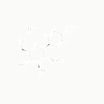 CC(=O)N[C@@H]1[C@@H](O)[C@H](O)[C@@H](CO)O[C@H]1c1ccc(C(=O)[O-])cc1.[Na+]